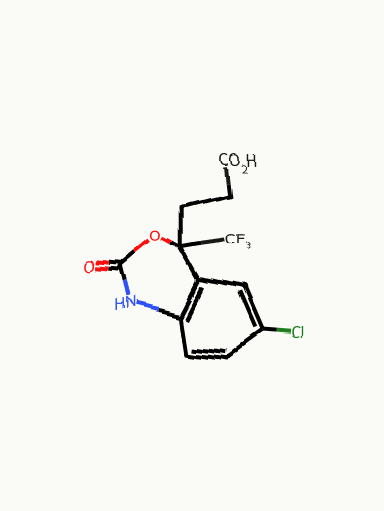 O=C(O)CCC1(C(F)(F)F)OC(=O)Nc2ccc(Cl)cc21